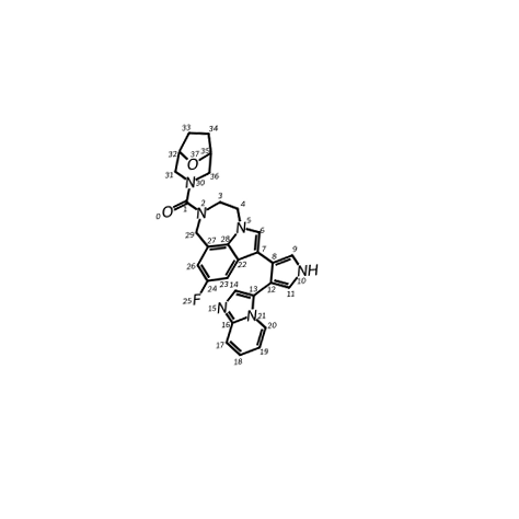 O=C(N1CCn2cc(-c3c[nH]cc3-c3cnc4ccccn34)c3cc(F)cc(c32)C1)N1CC2CCC(C1)O2